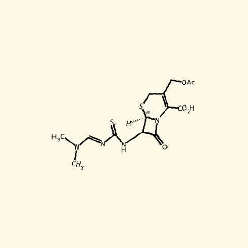 CC(=O)OCC1=C(C(=O)O)N2C(=O)C(NC(=S)N=CN(C)C)[C@H]2SC1